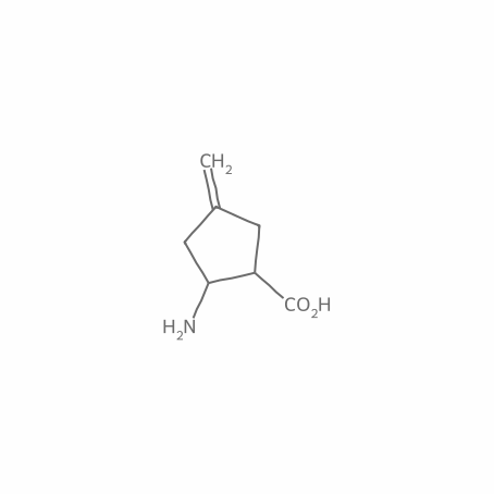 C=C1CC(N)C(C(=O)O)C1